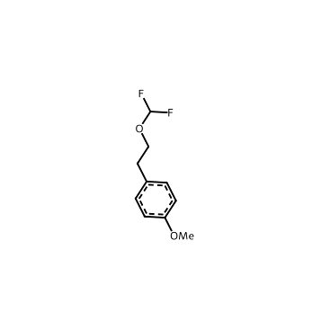 COc1ccc(CCOC(F)F)cc1